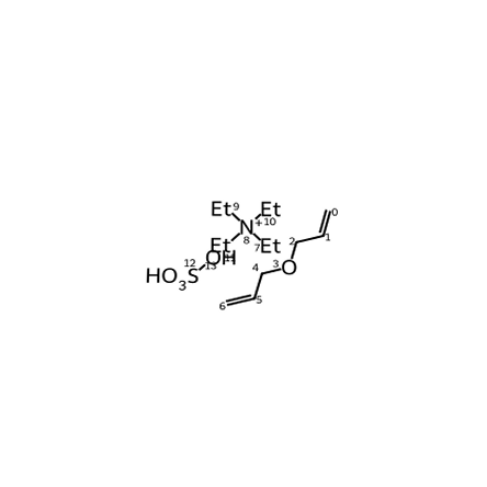 C=CCOCC=C.CC[N+](CC)(CC)CC.O=S(=O)(O)O